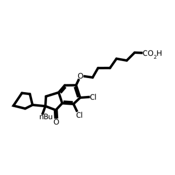 CCCCC1(C2CCCC2)Cc2cc(OCCCCCCC(=O)O)c(Cl)c(Cl)c2C1=O